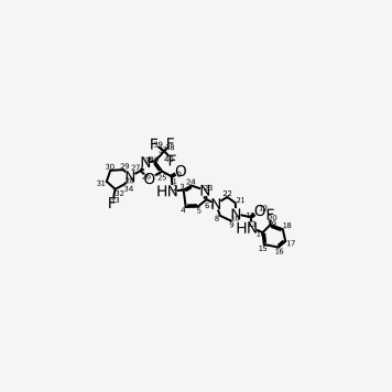 O=C(Nc1ccc(N2CCN(C(=O)Nc3ccccc3F)CC2)nc1)c1oc(N2CCCC(F)C2)nc1C(F)(F)F